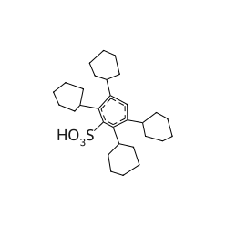 O=S(=O)(O)c1c(C2CCCCC2)c(C2CCCCC2)cc(C2CCCCC2)c1C1CCCCC1